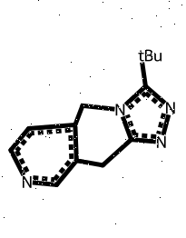 CC(C)(C)c1nnc2n1Cc1ccncc1C2